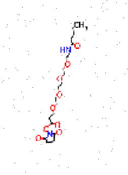 CCCCC(=O)NCCOCCOCCOCCOCCC(=O)ON1C(=O)CCC1=O